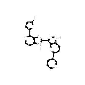 Fc1ccc(-c2nccc3[nH]c(-c4n[nH]c5ccc(-c6cccnc6)nc45)nc23)s1